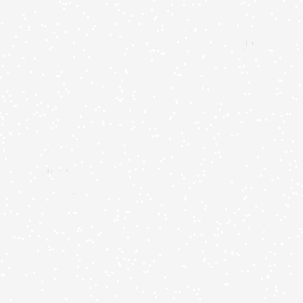 CCCCCCCCOc1c2cc3sc(-c4sc(C)c5sc(C(=O)OCC)c(F)c45)cc3cc2c(OCCCCCCCC)c2sc(C)cc12